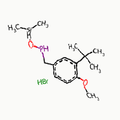 Br.COc1ccc(CPO[SiH](C)C)cc1C(C)(C)C